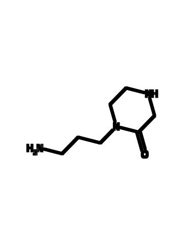 NCCCN1CCNCC1=O